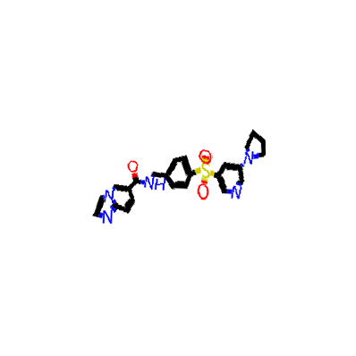 O=C(NCc1ccc(S(=O)(=O)c2cncc(N3CCCC3)c2)cc1)c1ccc2nccn2c1